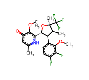 COc1c([C@H]2[C@H](c3[nH]c(C)cc(=O)c3OC)O[C@@](C)(C(F)(F)F)[C@H]2C)ccc(F)c1F